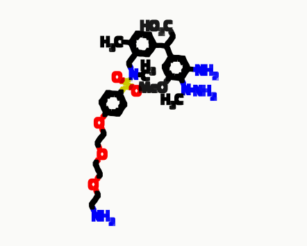 COc1cc(C(CC(=O)O)c2ccc(C)c(CN(C)S(=O)(=O)c3ccc(OCCOCCOCCN)cc3)c2)cc(N)c1N(C)N